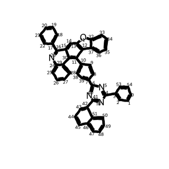 c1ccc(-c2nc(-c3ccc(-c4c5c(cc6c(-c7ccccc7)nc7ccccc7c46)oc4ccccc45)cc3)nc(-c3cccc4ccccc34)n2)cc1